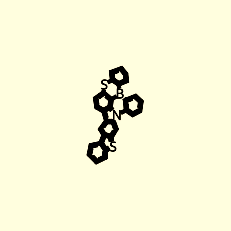 c1ccc2c(c1)Sc1ccc3c4cc5c(cc4n4c3c1B2c1ccccc1-4)sc1ccccc15